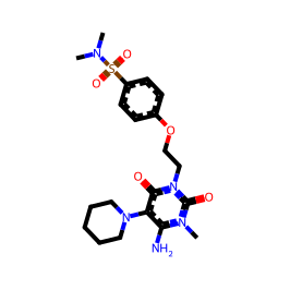 CN(C)S(=O)(=O)c1ccc(OCCn2c(=O)c(N3CCCCC3)c(N)n(C)c2=O)cc1